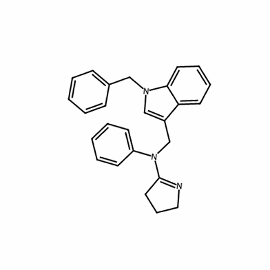 c1ccc(Cn2cc(CN(C3=NCCC3)c3ccccc3)c3ccccc32)cc1